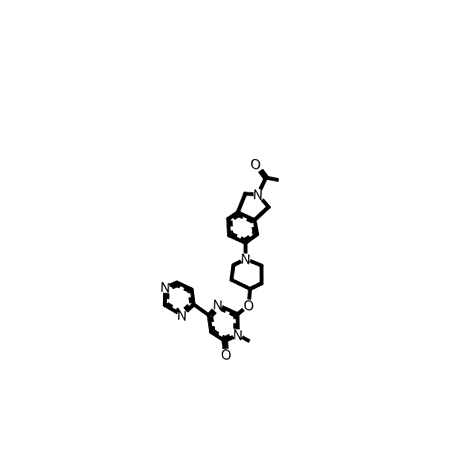 CC(=O)N1Cc2ccc(N3CCC(Oc4nc(-c5ccncn5)cc(=O)n4C)CC3)cc2C1